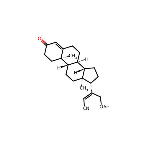 CC(=O)OCC(=CC#N)[C@H]1CC[C@H]2[C@@H]3CCC4=CC(=O)CC[C@]4(C)[C@H]3CC[C@]12C